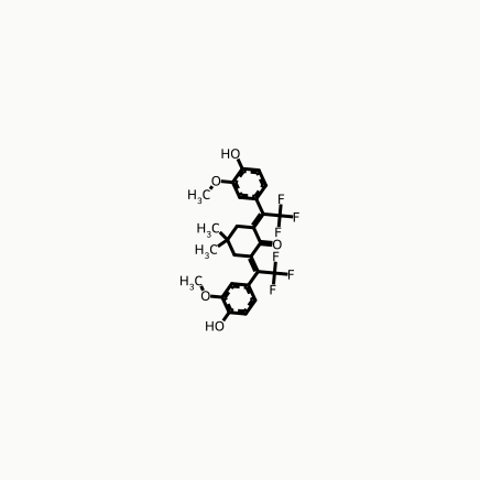 COc1cc(/C(=C2\CC(C)(C)C/C(=C(\c3ccc(O)c(OC)c3)C(F)(F)F)C2=O)C(F)(F)F)ccc1O